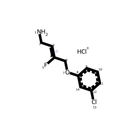 Cl.NC/C=C(\F)COc1cccc(Cl)c1